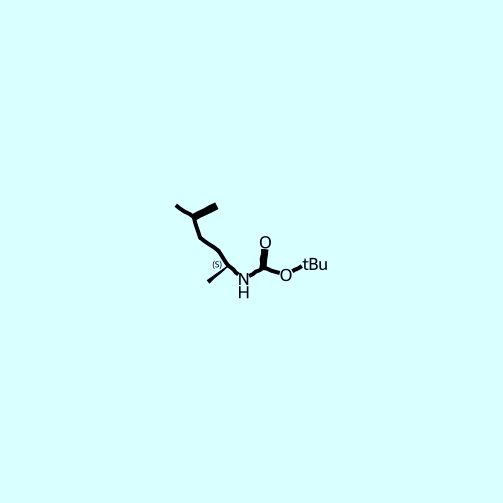 C=C(C)CC[C@H](C)NC(=O)OC(C)(C)C